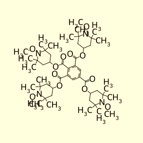 CON1C(C)(C)CC(OC(=O)c2cc(C(=O)OC3CC(C)(C)N(OC)C(C)(C)C3)c(C(=O)OC3CC(C)(C)N(OC)C(C)(C)C3)c(C(=O)OC3CC(C)(C)N(OC)C(C)(C)C3)c2)CC1(C)C